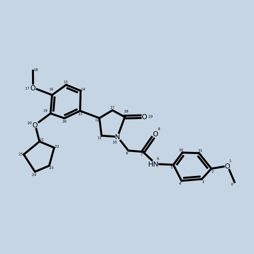 COc1ccc(NC(=O)CN2CC(c3ccc(OC)c(OC4CCCC4)c3)CC2=O)cc1